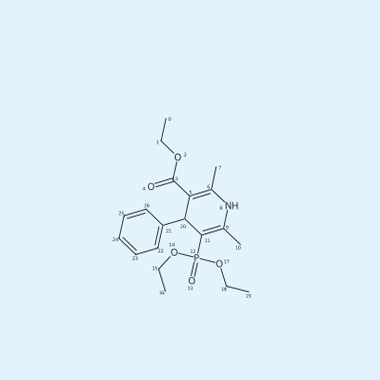 CCOC(=O)C1=C(C)NC(C)=C(P(=O)(OCC)OCC)C1c1ccccc1